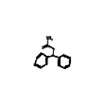 NC(=S)CC(c1ccccc1)c1ccncc1